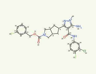 Cn1nc(C2CC3CN(C(=O)OCc4cccc(F)c4)CC3C2)c(C(=O)Nc2ccc(F)c(Cl)c2)c1N